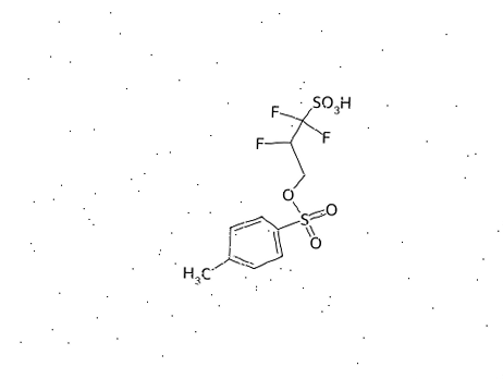 Cc1ccc(S(=O)(=O)OCC(F)C(F)(F)S(=O)(=O)O)cc1